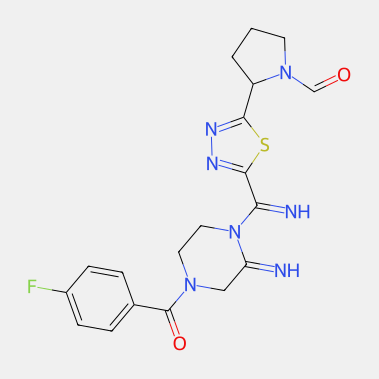 N=C1CN(C(=O)c2ccc(F)cc2)CCN1C(=N)c1nnc(C2CCCN2C=O)s1